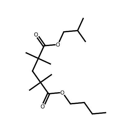 CCCCOC(=O)C(C)(C)CC(C)(C)C(=O)OCC(C)C